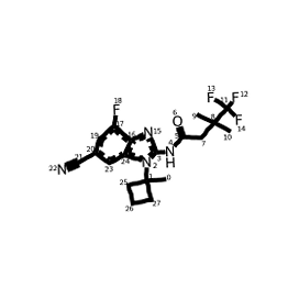 CC1(n2c(NC(=O)CC(C)(C)C(F)(F)F)nc3c(F)cc(C#N)cc32)CCC1